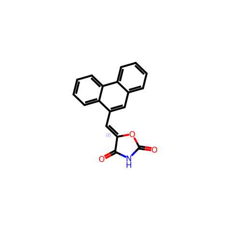 O=C1NC(=O)/C(=C/c2cc3ccccc3c3ccccc23)O1